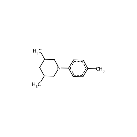 Cc1ccc(N2CC(C)CC(C)C2)cc1